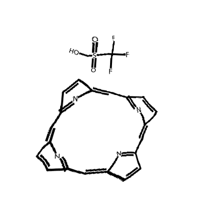 C1=CC2=NC1=CC1=NC(=CC3=NC(=CC4=NC(=C2)C=C4)C=C3)C=C1.O=S(=O)(O)C(F)(F)F